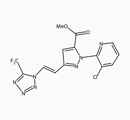 COC(=O)c1cc(/C=C/n2nnnc2C(F)(F)F)nn1-c1ncccc1Cl